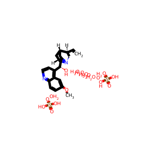 C=C[C@H]1C[N@]2CC[C@H]1C[C@H]2[C@H](O)c1ccnc2ccc(OC)cc12.O.O.O.O.O.O.O.O=S(=O)(O)O.O=S(=O)(O)O